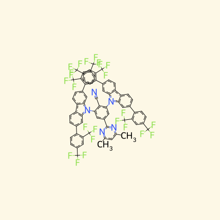 Cc1cc(C)nc(-c2cc(-n3c4cc(-c5ccc(C(F)(F)F)cc5C(F)(F)F)ccc4c4ccc(-c5ccc(C(F)(F)F)cc5C(F)(F)F)cc43)c(C#N)c(-n3c4cc(-c5ccc(C(F)(F)F)cc5C(F)(F)F)ccc4c4ccc(-c5ccc(C(F)(F)F)cc5C(F)(F)F)cc43)c2)n1